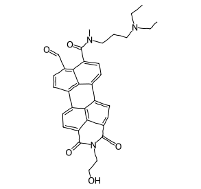 CCN(CC)CCCN(C)C(=O)c1ccc2c3ccc4c5c(ccc(c6ccc(C=O)c1c62)c53)C(=O)N(CCO)C4=O